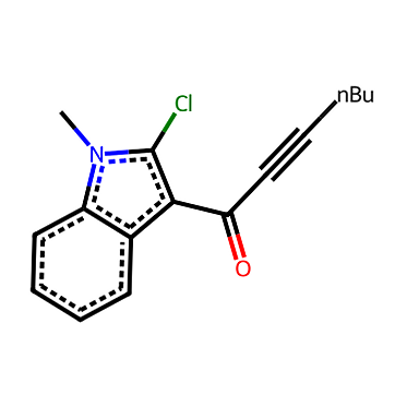 CCCCC#CC(=O)c1c(Cl)n(C)c2ccccc12